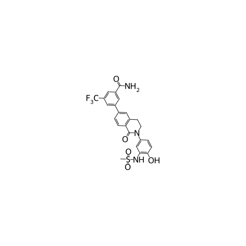 CS(=O)(=O)Nc1cc(N2CCc3cc(-c4cc(C(N)=O)cc(C(F)(F)F)c4)ccc3C2=O)ccc1O